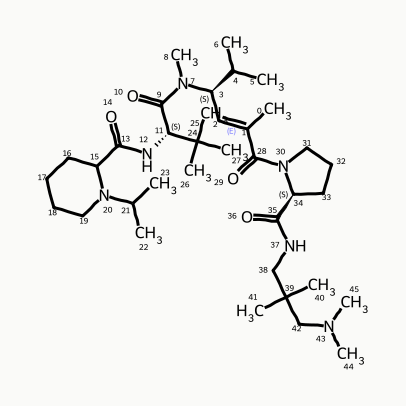 C/C(=C\[C@H](C(C)C)N(C)C(=O)[C@@H](NC(=O)C1CCCCN1C(C)C)C(C)(C)C)C(=O)N1CCC[C@H]1C(=O)NCC(C)(C)CN(C)C